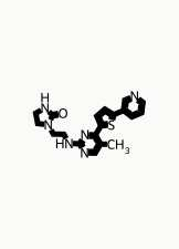 Cc1cnc(NCCN2CCNC2=O)nc1-c1ccc(-c2cccnc2)s1